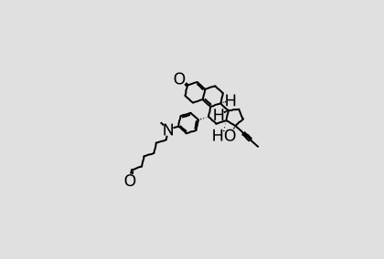 CC#C[C@]1(O)CC[C@H]2[C@@H]3CCC4=CC(=O)CCC4=C3[C@@H](c3ccc(N(C)CCCCCC=O)cc3)C[C@@]21C